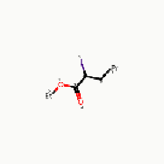 CCOC(=O)C(I)CC(C)C